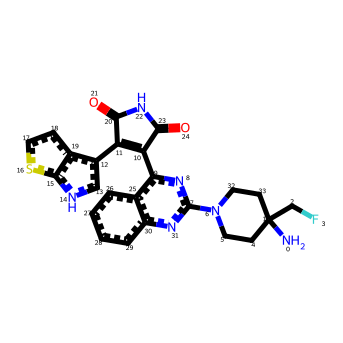 NC1(CF)CCN(c2nc(C3=C(c4c[nH]c5sccc45)C(=O)NC3=O)c3ccccc3n2)CC1